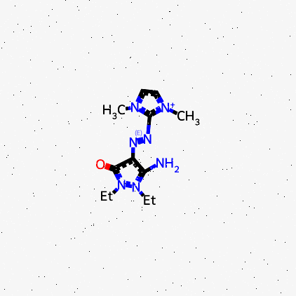 CCn1c(N)c(/N=N/c2n(C)cc[n+]2C)c(=O)n1CC